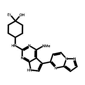 CCC1(O)CCC(Nc2nc(NC)c3c(-c4ccn5nccc5n4)c[nH]c3n2)CC1